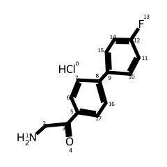 Cl.NCC(=O)c1ccc(-c2ccc(F)cc2)cc1